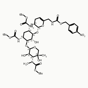 CN(C(=O)OC(C)(C)C)[C@@H]1[C@@H](O)[C@@H](O[C@@H]2[C@@H](O)[C@H](O[C@H]3OC(CNC(=O)OCc4ccc([N+](=O)[O-])cc4)=CC[C@H]3N)[C@@H](NC(=O)OC(C)(C)C)C[C@H]2NC(=O)OC(C)(C)C)OC[C@]1(C)O